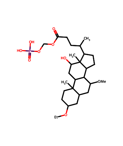 CCOC1CCC2(C)C(C1)CC(OC)C1C2CC(O)C2(C)C(C(C)CCC(=O)OCOP(=O)(O)O)CCC12